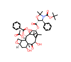 CC(=O)O[C@@]12CO[C@@H]1C[C@H](O)[C@@]1(C)C(=O)[C@H](O)C3=C(C)[C@@H](OC(=O)[C@@H]4OC(C)(C)N(C(=O)OC(C)(C)C)[C@H]4c4ccccc4)C[C@@](O)([C@@H](OC(=O)c4ccccc4)[C@H]21)C3(C)C